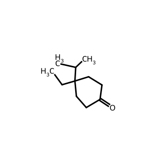 CCC1(C(C)C)CCC(=O)CC1